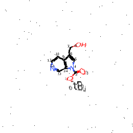 CC(C)(C)OC(=O)n1cc(CO)c2ccncc21